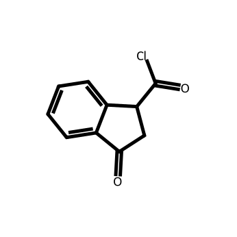 O=C1CC(C(=O)Cl)c2ccccc21